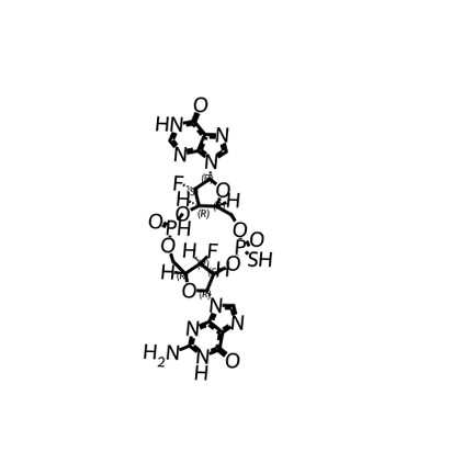 Nc1nc2c(ncn2[C@@H]2O[C@@H]3CO[PH](=O)O[C@H]4[C@H](F)[C@H](n5cnc6c(=O)[nH]cnc65)O[C@@H]4COP(=O)(S)O[C@@H]2[C@@H]3F)c(=O)[nH]1